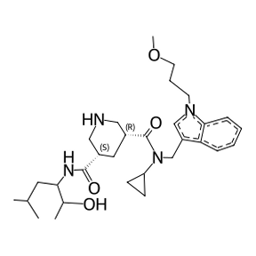 COCCCn1cc(CN(C(=O)[C@H]2CNC[C@@H](C(=O)NC(CC(C)C)C(C)O)C2)C2CC2)c2ccccc21